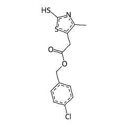 Cc1nc(S)sc1CC(=O)OCc1ccc(Cl)cc1